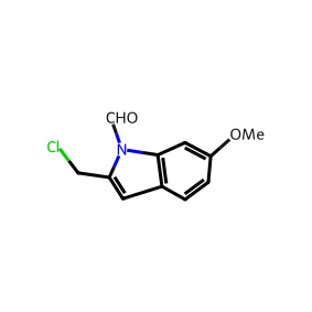 COc1ccc2cc(CCl)n(C=O)c2c1